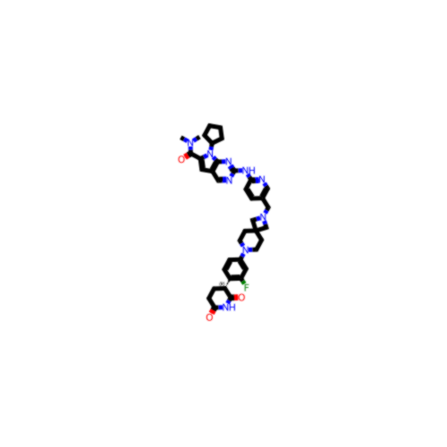 CN(C)C(=O)c1cc2cnc(Nc3ccc(CN4CC5(CCN(c6ccc([C@H]7CCC(=O)NC7=O)c(F)c6)CC5)C4)cn3)nc2n1C1CCCC1